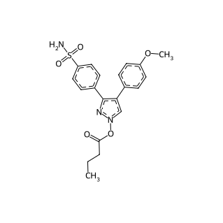 CCCC(=O)On1cc(-c2ccc(OC)cc2)c(-c2ccc(S(N)(=O)=O)cc2)n1